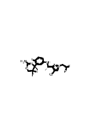 C[C@H](Nc1ccc(F)c([C@@]2(C)N=C(N)OCC2(F)F)c1)c1nn(CC(F)F)cc1Cl